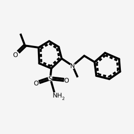 CC(=O)c1ccc(N(C)Cc2ccccc2)c(S(N)(=O)=O)c1